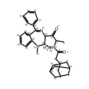 CC(NC(=O)CC12CC3CC(CC(C3)C1)C2)C(=O)C1N=C(c2ccccc2)c2ccccc2N(C)[C@@H]1N